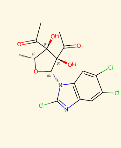 CC(=O)[C@@]1(O)[C@@H](C)O[C@@H](n2c(Cl)nc3cc(Cl)c(Cl)cc32)[C@@]1(O)C(C)=O